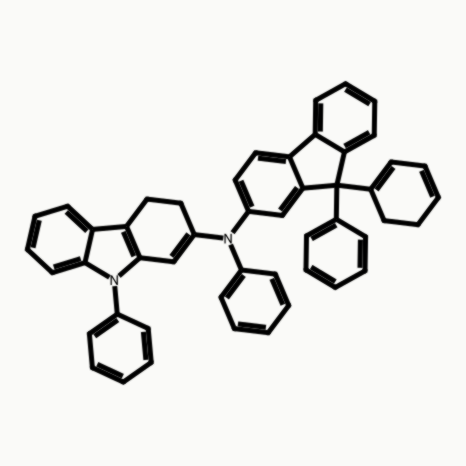 C1=CCCC(C2(c3ccccc3)c3ccccc3-c3ccc(N(C4=Cc5c(c6ccccc6n5-c5ccccc5)CC4)c4ccccc4)cc32)=C1